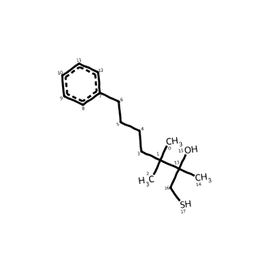 CC(C)(CCCCc1ccccc1)C(C)(O)CS